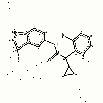 O=C(Nc1ccc2[nH]nc(I)c2c1)C(c1ncccc1Cl)C1CC1